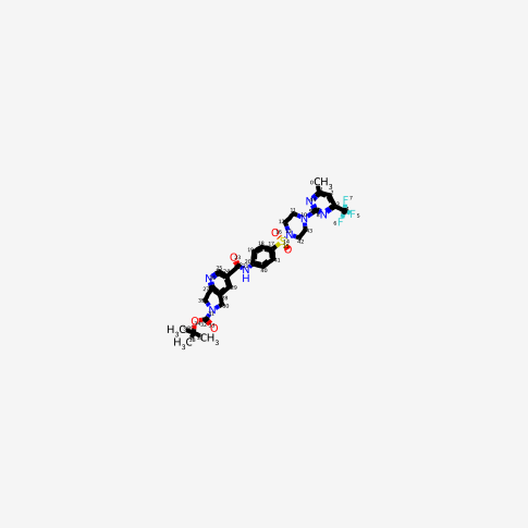 Cc1cc(C(F)(F)F)nc(N2CCN(S(=O)(=O)c3ccc(NC(=O)c4cnc5c(c4)CN(C(=O)OC(C)(C)C)C5)cc3)CC2)n1